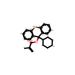 C=C(C)C(=O)OC1(C2CCCCC2)c2ccccc2Sc2ccccc21